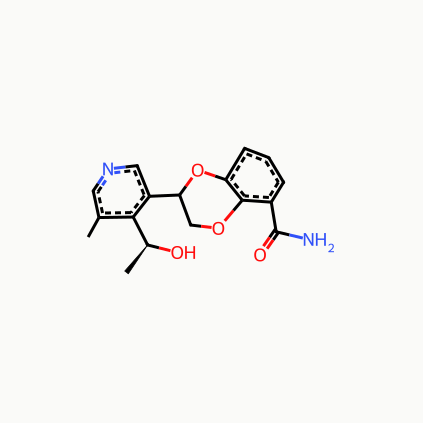 Cc1cncc(C2COc3c(cccc3C(N)=O)O2)c1[C@H](C)O